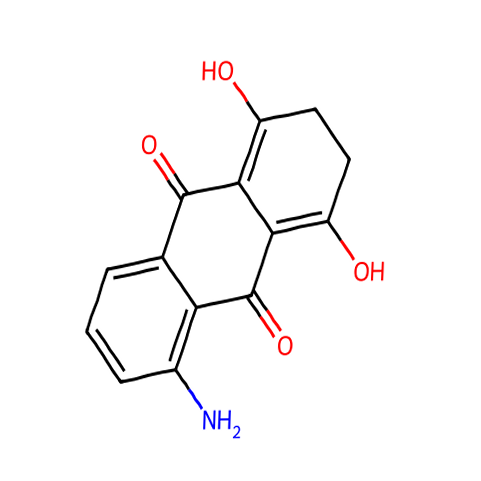 Nc1cccc2c1C(=O)C1=C(O)CCC(O)=C1C2=O